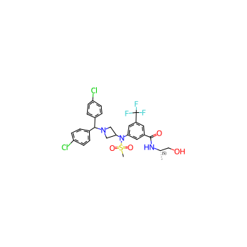 C[C@@H](CO)NC(=O)c1cc(N(C2CN(C(c3ccc(Cl)cc3)c3ccc(Cl)cc3)C2)S(C)(=O)=O)cc(C(F)(F)F)c1